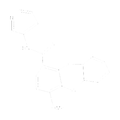 COc1ccc(C(=O)Nc2cccnc2)c2c1OC1C=CC=CC1O2